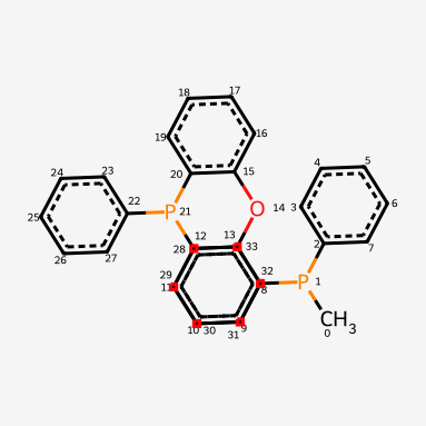 CP(c1ccccc1)c1ccccc1Oc1ccccc1P(c1ccccc1)c1ccccc1